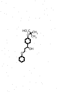 CC(C)(Oc1ccc(C(O)CCOc2ccccc2)cc1)C(=O)O